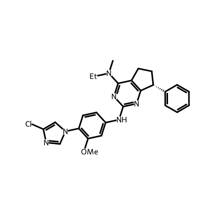 CCN(C)c1nc(Nc2ccc(-n3cnc(Cl)c3)c(OC)c2)nc2c1CC[C@@H]2c1ccccc1